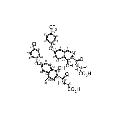 C[C@H](NC(=O)c1ncc2cc(Oc3ccc(C(F)(F)F)cc3)ccc2c1O)C(=O)O.Cc1nc(C(=O)NCC(=O)O)c(O)c2ccc(Oc3ccc(Cl)cc3)cc12